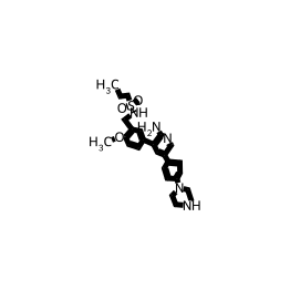 CCCS(=O)(=O)NCc1cc(-c2cc(-c3ccc(N4CCNCC4)cc3)cnc2N)ccc1OC